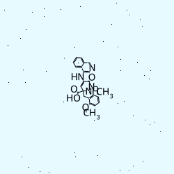 CCN1NC(Cc2ccccc2OC)(C(=O)O)C=C(Nc2cncc3ccccc23)C1=O